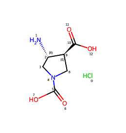 Cl.N[C@H]1CN(C(=O)O)C[C@@H]1C(=O)O